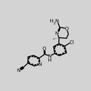 C[C@@]1(c2cc(NC(=O)c3ccc(C#N)cn3)ccc2Cl)CCOC(N)=N1